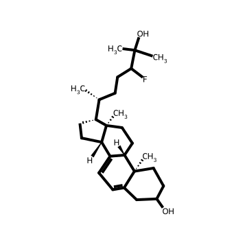 C[C@H](CCC(F)C(C)(C)O)[C@H]1CC[C@H]2C3=CC=C4CC(O)CC[C@]4(C)[C@H]3CC[C@]12C